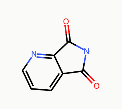 O=C1[N]C(=O)c2ncccc21